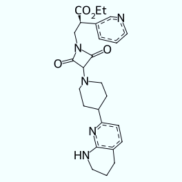 CCOC(=O)[C@H](CN1C(=O)C(N2CCC(c3ccc4c(n3)NCCC4)CC2)C1=O)c1cccnc1